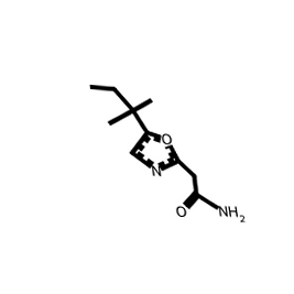 CCC(C)(C)c1cnc(CC(N)=O)o1